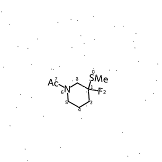 CSC1(F)CCCN(C(C)=O)C1